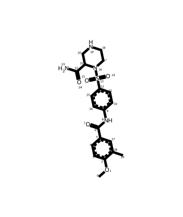 COc1ccc(C(=O)Nc2ccc(S(=O)(=O)N3CCNCC3C(N)=O)cc2)cc1C